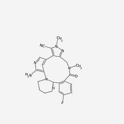 CN1Cc2nn(C)c(C#N)c2-c2cnc(N)c(c2)N2CCCC[C@@H]2c2cc(F)ccc2C1=O